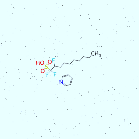 CCCCCCCCC(F)C(F)(F)S(=O)(=O)O.c1ccncc1